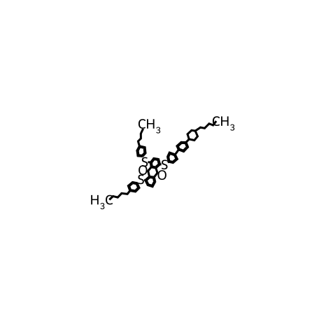 CCCCCc1ccc(Sc2cccc3c2C(=O)c2c(Sc4ccc(CCCCC)cc4)ccc(Sc4ccc(-c5ccc(C6CCC(CCCCC)CC6)cc5)cc4)c2C3=O)cc1